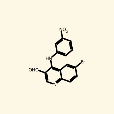 O=Cc1cnc2ccc(Br)cc2c1Nc1cccc([N+](=O)[O-])c1